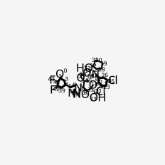 COc1cc(-c2cn([C@H]3[C@@H](O)[C@@H](CO)O[C@@H](C(=O)N(c4cc(Cl)cc(Cl)c4)[C@H]4CCCC[C@@H]4O)[C@@H]3OC)nn2)cc(F)c1F